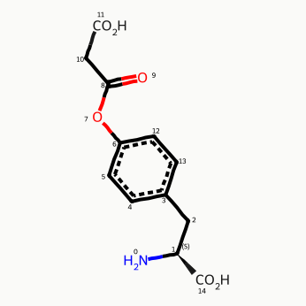 N[C@@H](Cc1ccc(OC(=O)CC(=O)O)cc1)C(=O)O